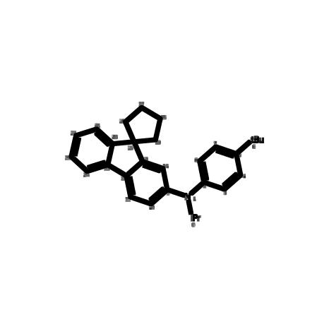 CC(C)N(c1ccc(C(C)(C)C)cc1)c1ccc2c(c1)C1(CCCC1)c1ccccc1-2